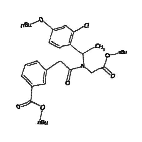 CCCCOC(=O)CN(C(=O)Cc1cccc(C(=O)OCCCC)c1)C(C)c1ccc(OCCCC)cc1Cl